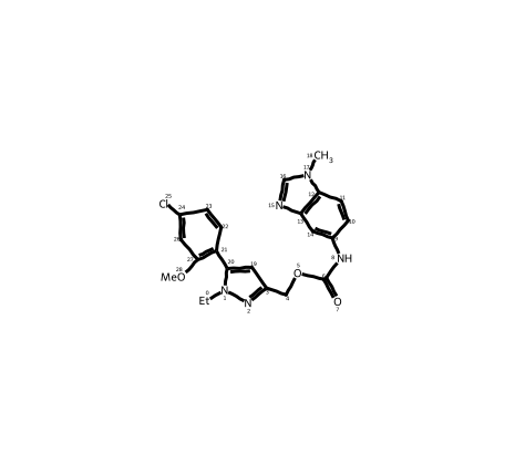 CCn1nc(COC(=O)Nc2ccc3c(c2)ncn3C)cc1-c1ccc(Cl)cc1OC